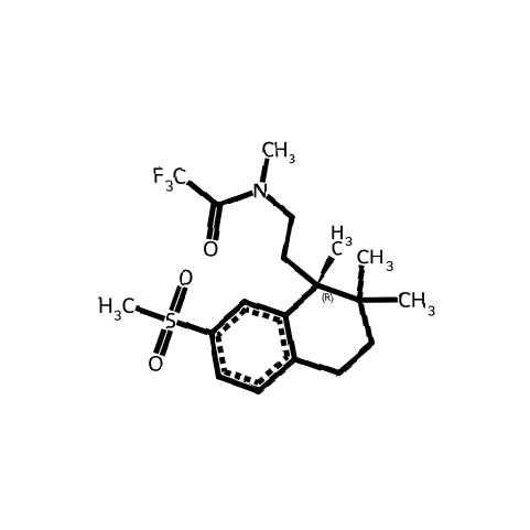 CN(CC[C@@]1(C)c2cc(S(C)(=O)=O)ccc2CCC1(C)C)C(=O)C(F)(F)F